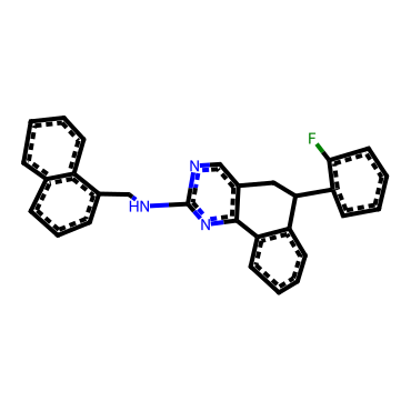 Fc1ccccc1C1Cc2cnc(NCc3cccc4ccccc34)nc2-c2ccccc21